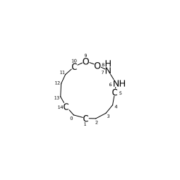 C1CCCCCNNOOCCCCC1